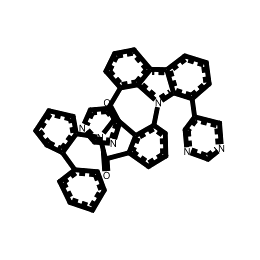 O=C1c2cccc(-n3c4c(-c5cncnc5)cccc4c4cccc(-c5cncnc5)c43)c2C(=O)N1c1ccccc1-c1ccccc1